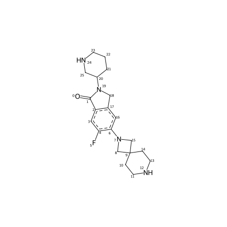 O=C1c2cc(F)c(N3CC4(CCNCC4)C3)cc2CN1C1CCCNC1